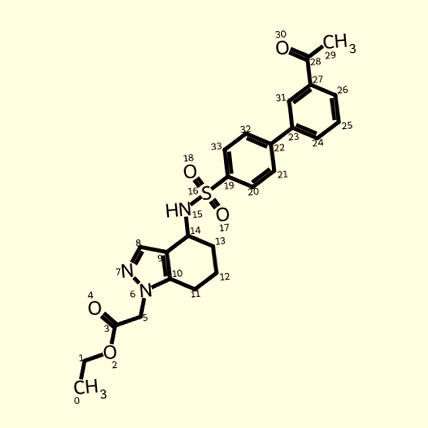 CCOC(=O)Cn1ncc2c1CCCC2NS(=O)(=O)c1ccc(-c2cccc(C(C)=O)c2)cc1